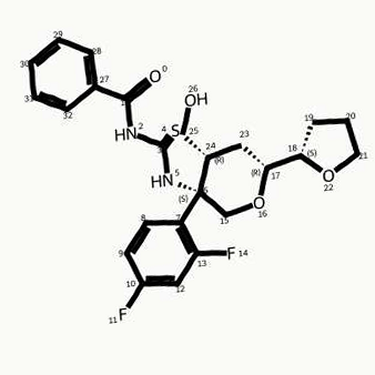 O=C(NC(=S)N[C@@]1(c2ccc(F)cc2F)CO[C@@H]([C@@H]2CCCO2)C[C@H]1CO)c1ccccc1